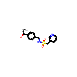 COC(=O)c1ccc(CNS(=O)(=O)Cc2cccnc2)cc1